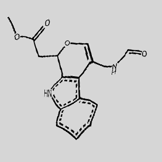 COC(=O)CC1OC=C(NC=O)c2c1[nH]c1ccccc21